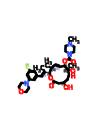 C/C(=C\c1cc(F)cc(N2CCOCC2)c1)[C@H]1OC(=O)C[C@H](O)CC[C@@](C)(O)[C@@H](OC(=O)N2CCN(C)CC2)/C=C/[C@@H]1C